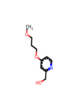 COCCCOc1ccnc(CO)c1